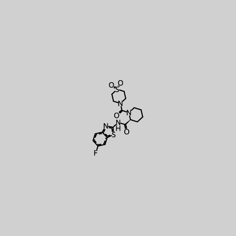 O=C(Nc1nc2ccc(F)cc2s1)[C@@H]1CCCCN1C(=O)N1CCS(=O)(=O)CC1